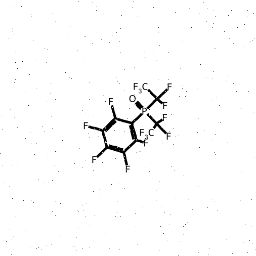 O=P(c1c(F)c(F)c(F)c(F)c1F)(C(F)(F)C(F)(F)F)C(F)(F)C(F)(F)F